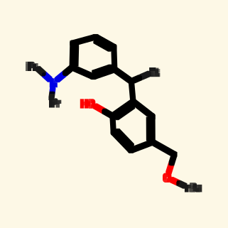 CCCCOCc1ccc(O)c(C(CC)c2cccc(N(C(C)C)C(C)C)c2)c1